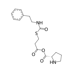 O=C(CCSC(=O)NCCc1ccccc1)OC(=O)[C@@H]1CCCN1